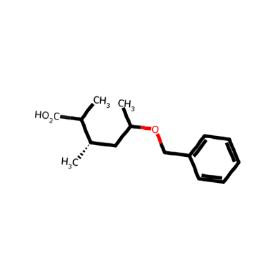 CC(C[C@H](C)C(C)C(=O)O)OCc1ccccc1